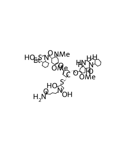 CC[C@@H]1CCCC[C@@H]1N(CS(=O)(=O)O)C(=O)[C@@H]1CC(OC)=C(OCC2=C[C@@H](CSC3C[C@@H](O)N(CCCC(N)=O)[C@H]3O)C[C@@H](COC3=C(OC)C[C@@H]4C(=O)N5C6CCCC[C@@H]6C[C@H]5CN[C@@H]4C3)C2)CC1NC